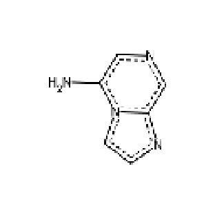 Nc1cncc2nccn12